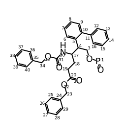 O=POCC(c1ccccc1-c1ccccc1)C(CCC(=O)OCc1ccccc1)NC(=O)OCc1ccccc1